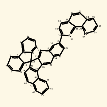 c1ccc2c(c1)-c1ccccc1C21c2cc3cc(-c4ccc5ccc6cccnc6c5n4)ccc3cc2-c2c1ccc1ccccc21